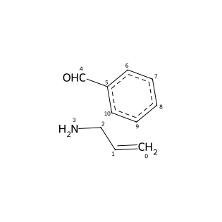 C=CCN.O=Cc1ccccc1